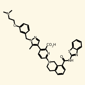 Cc1c(-c2ccc(N3CCc4cccc(C(=O)Nc5nc6ccccc6s5)c4C3)nc2C(=O)O)cnn1Cc1cccc(OCCN(C)C)c1